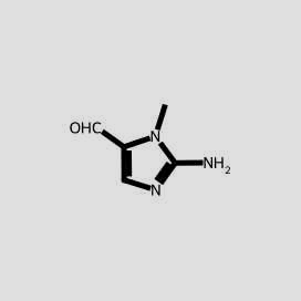 Cn1c(C=O)cnc1N